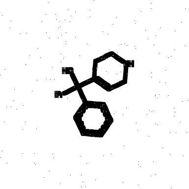 CC(C)C(O)(C1=CCNCC1)c1ccccc1